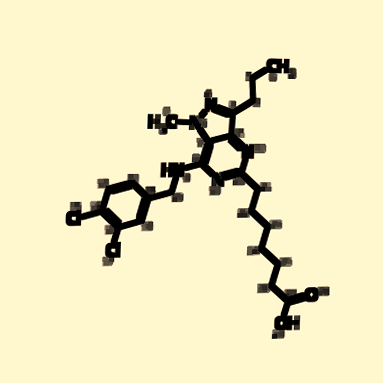 CCCc1nn(C)c2c(NCc3ccc(Cl)c(Cl)c3)nc(CCCCCCC(=O)O)nc12